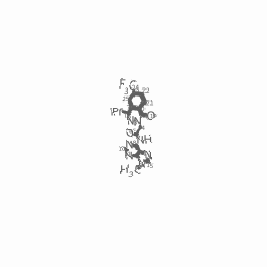 CC(C)c1nn(CC(=O)Nc2ncnc3c2ncn3C)c(=O)c2ccc(C(F)(F)F)cc12